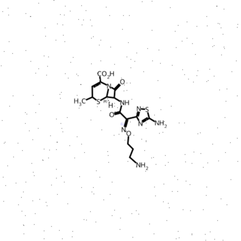 CC1C=C(C(=O)O)N2C(=O)C(NC(=O)/C(=N/OCCCN)c3nsc(N)n3)[C@H]2S1